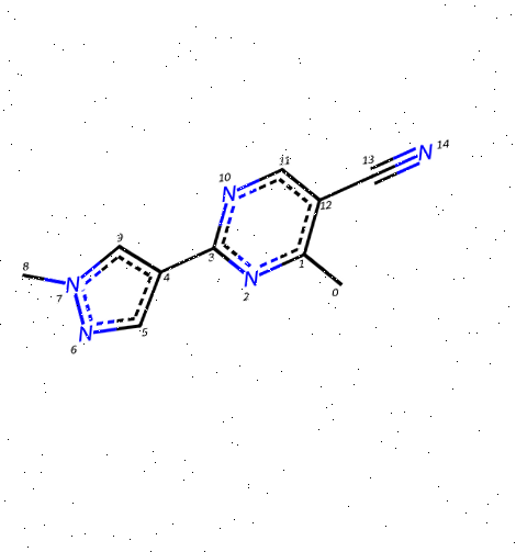 Cc1nc(-c2cnn(C)c2)ncc1C#N